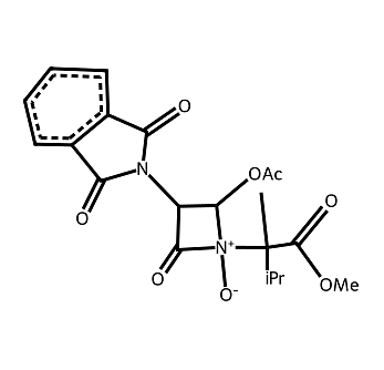 COC(=O)C(C)(C(C)C)[N+]1([O-])C(=O)C(N2C(=O)c3ccccc3C2=O)C1OC(C)=O